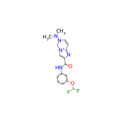 CN(C)N1C=CC2=NC(C(=O)Nc3cccc(OC(F)F)c3)=C[N+]2C1